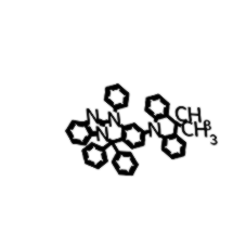 CC1(C)c2ccccc2N(c2ccc3c(c2)N(c2ccccc2)c2nc4ccccc4n2C3(c2ccccc2)c2ccccc2)c2ccccc21